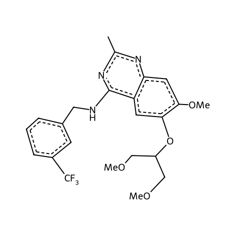 COCC(COC)Oc1cc2c(NCc3cccc(C(F)(F)F)c3)nc(C)nc2cc1OC